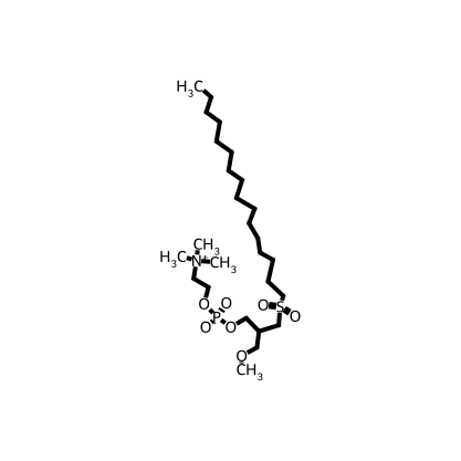 CCCCCCCCCCCCCCCCS(=O)(=O)CC(COC)COP(=O)([O-])OCC[N+](C)(C)C